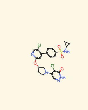 O=c1[nH]ncc(N2CC[C@@H](Oc3cc(-c4ccc(S(=O)(=O)NC5CC5)cc4)c(Cl)cn3)C2)c1Cl